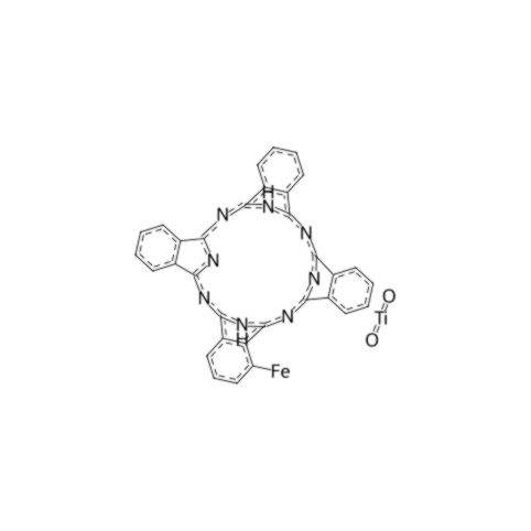 [Fe][c]1cccc2c3nc4nc(nc5[nH]c(nc6nc(nc([nH]3)c12)-c1ccccc1-6)c1ccccc51)-c1ccccc1-4.[O]=[Ti]=[O]